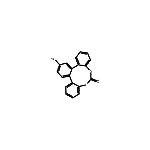 CC(C)(C)c1ccc2c3ccccc3oc(=O)oc3ccccc3c2c1